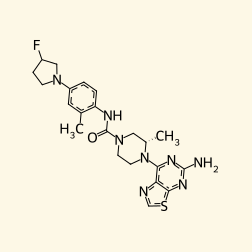 Cc1cc(N2CCC(F)C2)ccc1NC(=O)N1CCN(c2nc(N)nc3scnc23)[C@@H](C)C1